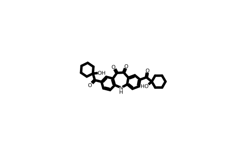 O=C(c1ccc2[nH]c3ccc(C(=O)C4(O)CCCCC4)cc3c(=O)c(=O)c2c1)C1(O)CCCCC1